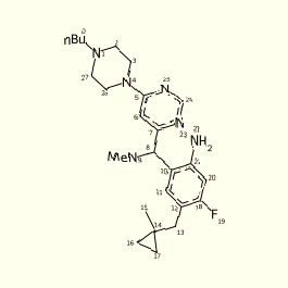 CCCCN1CCN(c2cc(C(NC)c3cc(CC4(C)CC4)c(F)cc3N)ncn2)CC1